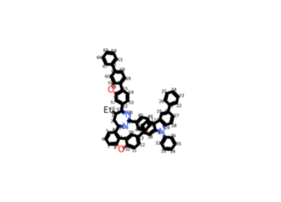 CCC1CC(c2cccc3oc4ccc(-c5ccc6c7cc(-c8ccccc8)ccc7n(-c7ccccc7)c6c5)cc4c23)N=C(c2ccccc2)N=C1c1ccc2c(c1)oc1cc(-c3ccccc3)ccc12